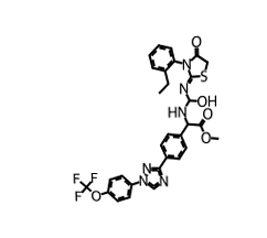 CCc1ccccc1N1C(=O)CS/C1=N\C(O)NC(C(=O)OC)c1ccc(-c2ncn(-c3ccc(OC(F)(F)F)cc3)n2)cc1